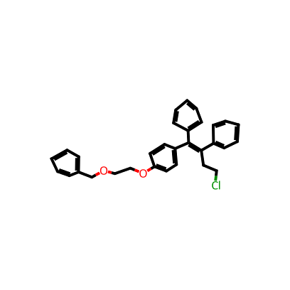 ClCCC(=C(c1ccccc1)c1ccc(OCCOCc2ccccc2)cc1)c1ccccc1